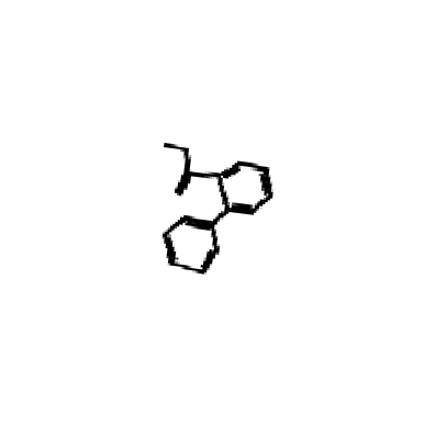 C=C(CC)c1ccccc1-c1ccccc1